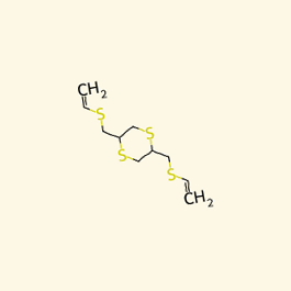 C=CSCC1CSC(CSC=C)CS1